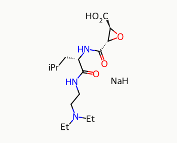 CCN(CC)CCNC(=O)[C@H](CC(C)C)NC(=O)[C@H]1O[C@@H]1C(=O)O.[NaH]